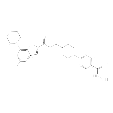 Cc1nc(N2CCOCC2)c2sc(C(=O)NCC3CCN(c4ncc(C(=O)NO)cn4)CC3)cc2n1